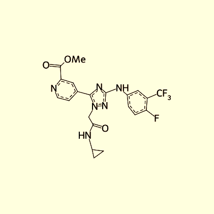 COC(=O)c1cc(-c2nc(Nc3ccc(F)c(C(F)(F)F)c3)nn2CC(=O)NC2CC2)ccn1